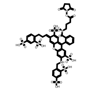 CN(CCCC(=O)ON1C(=O)CCC1=O)C(=O)c1ccccc1C1=c2cc(S(=O)(=O)O)/c(=C/CCc3ccc(S(=O)(=O)O)cc3S(=O)(=O)O)cc2Oc2cc(NCc3ccc(S(=O)(=O)O)cc3S(=O)(=O)O)c(S(=O)(=O)O)cc21